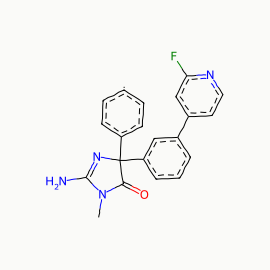 CN1C(=O)C(c2cc[c]cc2)(c2cccc(-c3ccnc(F)c3)c2)N=C1N